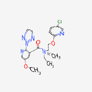 CCN(C(=O)c1cc(OC)cnc1-n1nccn1)[C@@H](C)COc1ccc(Cl)cn1